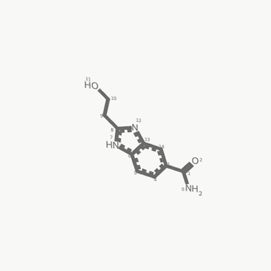 NC(=O)c1ccc2[nH]c(CCO)nc2c1